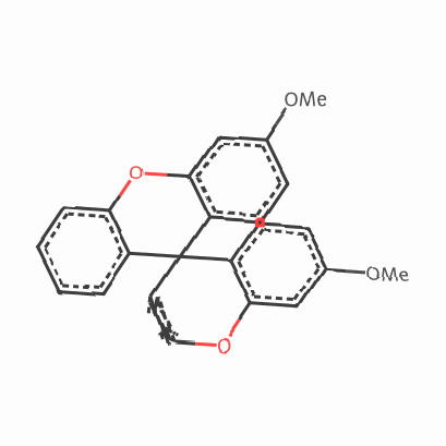 COc1ccc2c(c1)Oc1ccccc1C21c2ccccc2Oc2cc(OC)ccc21